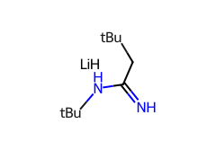 CC(C)(C)CC(=N)NC(C)(C)C.[LiH]